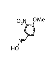 COc1ccc(C=NO)cc1[N+](=O)[O-]